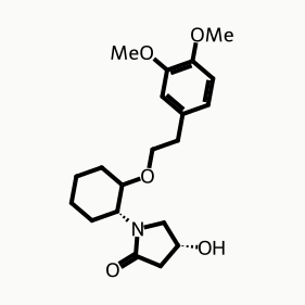 COc1ccc(CCOC2CCCC[C@H]2N2C[C@H](O)CC2=O)cc1OC